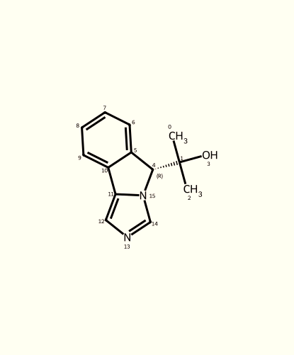 CC(C)(O)[C@H]1c2ccccc2-c2cncn21